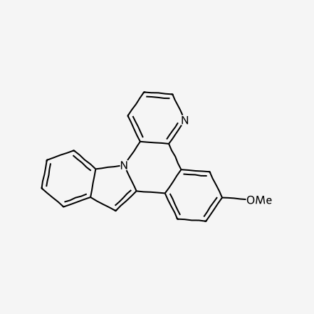 COc1ccc2c(c1)c1ncccc1n1c3ccccc3cc21